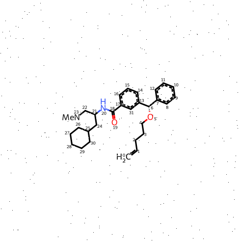 C=CCCCO[C@@H](c1ccccc1)c1cccc(C(=O)NC(CNC)CC2CCCCC2)c1